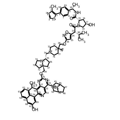 Cc1ncsc1-c1ccc([C@H](C)NC(=O)[C@@H]2C[C@@H](O)CN2C(=O)[C@@H](c2cc(OCC3(F)CCN(C[C@@H]4CC[C@]5(COc6nc(N7CC8CCC(C7)N8)c7cnc8c(c7n6)C(C)c6cccc7cc(O)cc-8c67)CCCN45)CC3)no2)C(C)C)cc1